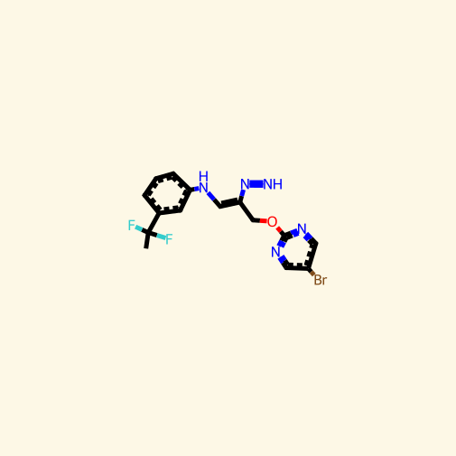 CC(F)(F)c1cccc(N/C=C(/COc2ncc(Br)cn2)N=N)c1